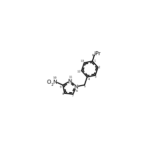 CC(C)c1ccc(Cn2ccc([N+](=O)[O-])n2)cc1